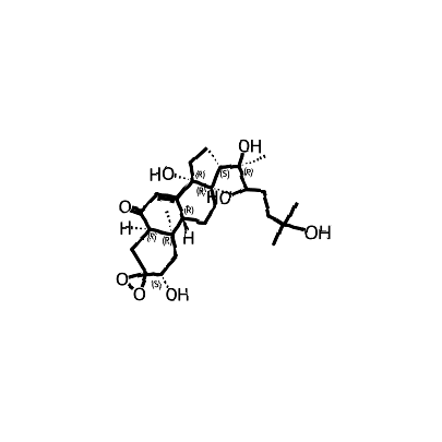 CC(C)(O)CCC(O)[C@](C)(O)[C@H]1CC[C@]2(O)C3=CC(=O)[C@@H]4CC5(OO5)[C@@H](O)C[C@]4(C)[C@H]3CC[C@]12C